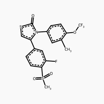 Cc1cc(-n2c(-c3ccc(S(C)(=O)=O)c(F)c3)csc2=O)ccc1OC(F)(F)F